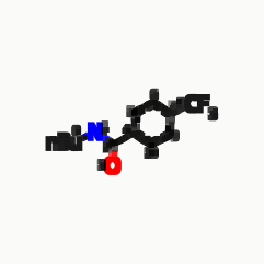 CCCC[N]C(=O)c1ccc(C(F)(F)F)cc1